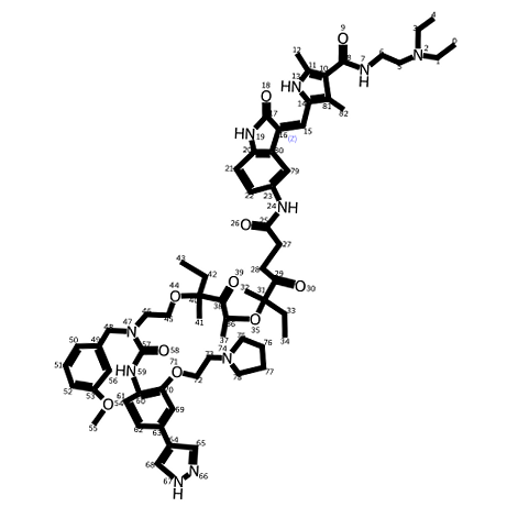 CCN(CC)CCNC(=O)c1c(C)[nH]c(/C=C2\C(=O)Nc3ccc(NC(=O)CCC(=O)C(C)(CC)OC(C)C(=O)C(C)(CC)OCCN(Cc4cccc(OC)c4)C(=O)Nc4ccc(-c5cn[nH]c5)cc4OCCN4CCCC4)cc32)c1C